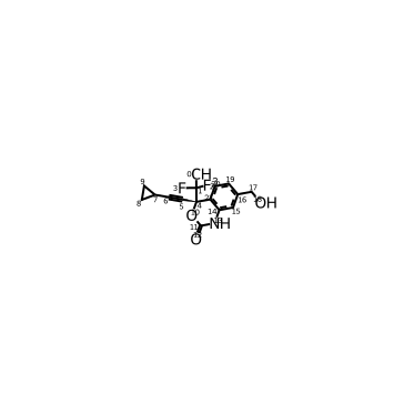 CC(F)(F)[C@@]1(C#CC2CC2)OC(=O)Nc2cc(CO)ccc21